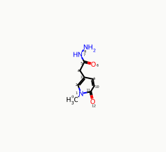 Cn1cc(CC(=O)NN)ccc1=O